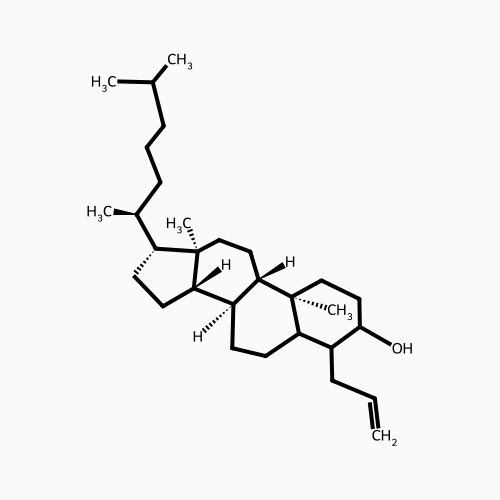 C=CCC1C(O)CC[C@@]2(C)C1CC[C@H]1[C@@H]3CC[C@H]([C@@H](C)CCCC(C)C)[C@@]3(C)CC[C@@H]12